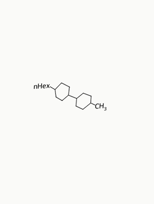 CCCCCCC1CCC(C2CCC(C)CC2)CC1